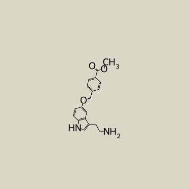 COC(=O)c1ccc(COc2ccc3[nH]cc(CCN)c3c2)cc1